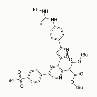 CCNC(=S)Nc1ccc(-c2cc(-c3nc(-c4ccc(S(=O)(=O)C(C)C)cc4)cnc3N(C(=O)OC(C)(C)C)C(=O)OC(C)(C)C)on2)cc1